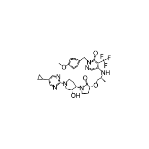 COc1ccc(Cn2ncc(N[C@@H](C)CO[C@@H]3CCN([C@@H]4CCN(c5ncc(C6CC6)cn5)C[C@H]4O)C3=O)c(C(F)(F)F)c2=O)cc1